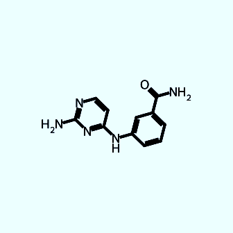 NC(=O)c1cccc(Nc2ccnc(N)n2)c1